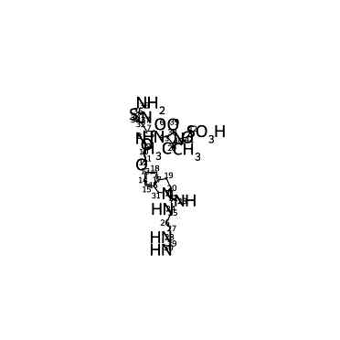 CC1(C)C(NC(=O)/C(=N\OCCOc2ccc3c(c2)CCN(C(=N)NCCCNC=N)C3)c2csc(N)n2)C(=O)N1OS(=O)(=O)O